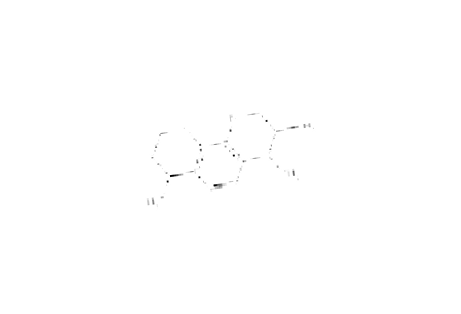 CC1CCNc2c1ccc1c2NCC(C)C1C